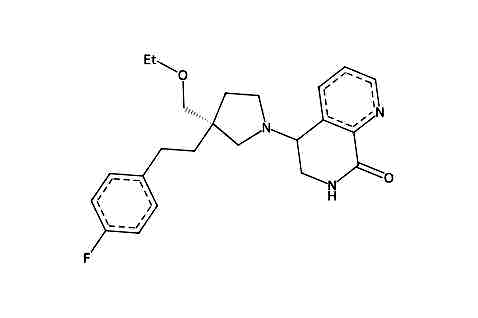 CCOC[C@]1(CCc2ccc(F)cc2)CCN(C2CNC(=O)c3ncccc32)C1